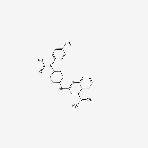 Cc1ccc(N(C(=O)O)C2CCC(Nc3cc(N(C)C)c4ccccc4n3)CC2)cc1